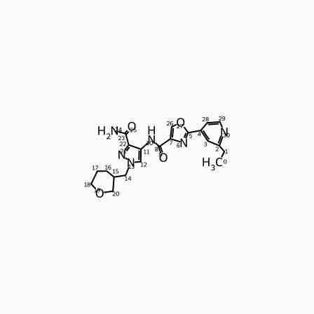 CCc1cc(-c2nc(C(=O)Nc3cn(CC4CCCOC4)nc3C(N)=O)co2)ccn1